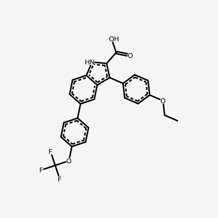 CCOc1ccc(-c2c(C(=O)O)[nH]c3ccc(-c4ccc(OC(F)(F)F)cc4)cc23)cc1